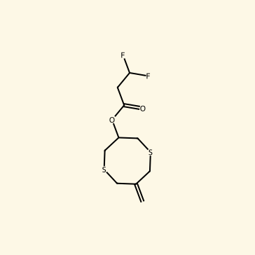 C=C1CSCC(OC(=O)CC(F)F)CSC1